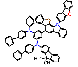 CC1(C)c2ccccc2-c2ccc(N(c3ccc(-c4ccccc4)cc3)c3cc(-c4cc5c6ccccc6n(-c6ccc7c(c6)oc6ccccc67)c5c5sc6ccccc6c45)cc(N(c4ccccc4)c4ccc(-c5ccccc5)cc4)c3)cc21